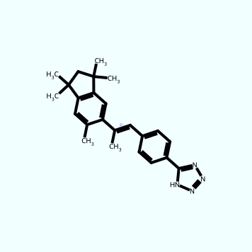 C/C(=C\c1ccc(-c2nnn[nH]2)cc1)c1cc2c(cc1C)C(C)(C)CC2(C)C